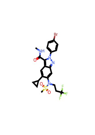 CNC(=O)c1c2cc(C3CC3)c(N(CCC(F)(F)F)S(C)(=O)=O)cc2nn1-c1ccc(Br)cc1